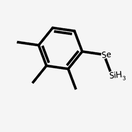 Cc1ccc([Se][SiH3])c(C)c1C